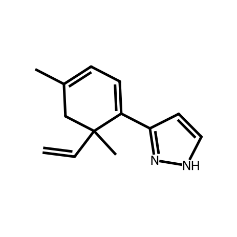 C=CC1(C)CC(C)=CC=C1c1cc[nH]n1